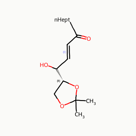 CCCCCCCC(=O)/C=C/C(O)[C@H]1COC(C)(C)O1